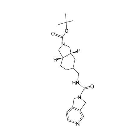 CC(C)(C)OC(=O)N1C[C@H]2CCC(CNC(=O)N3Cc4ccncc4C3)C[C@H]2C1